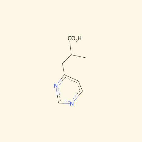 CC(Cc1ccncn1)C(=O)O